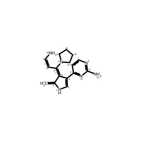 C=c1[nH]cc(-c2ccnc(N)n2)/c1=C(/C=C\N)N1CCCC1